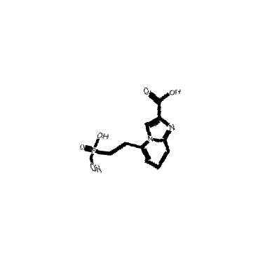 O=C(O)c1cn2c(CCP(=O)(O)O)cccc2n1